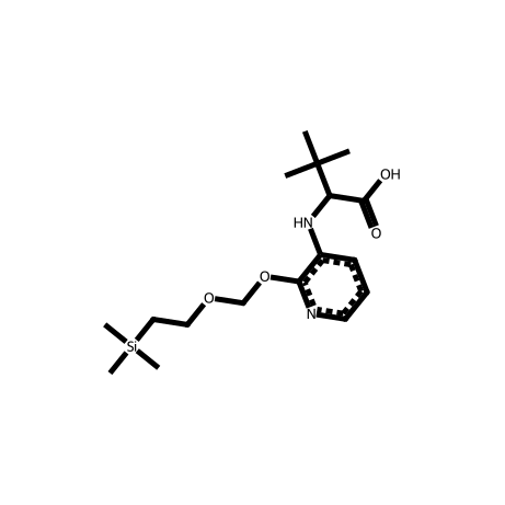 CC(C)(C)C(Nc1cccnc1OCOCC[Si](C)(C)C)C(=O)O